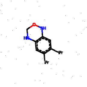 CC(C)c1cc2c(cc1C(C)C)NOCN2